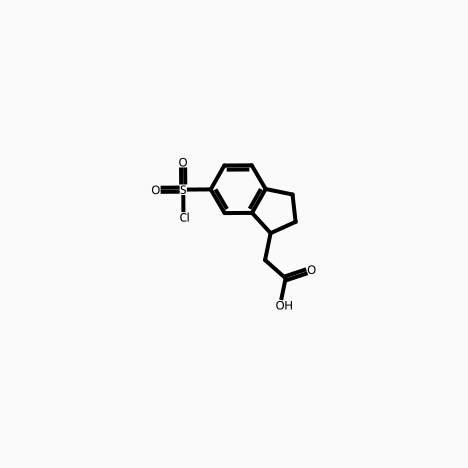 O=C(O)CC1CCc2ccc(S(=O)(=O)Cl)cc21